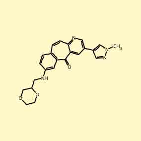 Cn1cc(-c2cnc3ccc4ccc(NCC5COCCO5)cc4c(=O)c3c2)cn1